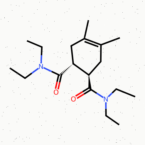 CCN(CC)C(=O)[C@@H]1CC(C)=C(C)C[C@H]1C(=O)N(CC)CC